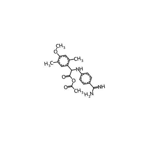 COc1cc(C)c(C(Nc2ccc(C(=N)N)cc2)C(=O)OC(C)=O)cc1C